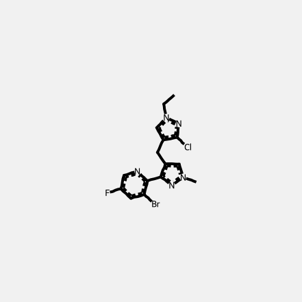 CCn1cc(Cc2cn(C)nc2-c2ncc(F)cc2Br)c(Cl)n1